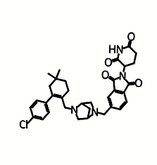 CC1(C)CCC(CN2CC3CC2CN3Cc2ccc3c(c2)C(=O)N(C2CCC(=O)NC2=O)C3=O)=C(c2ccc(Cl)cc2)C1